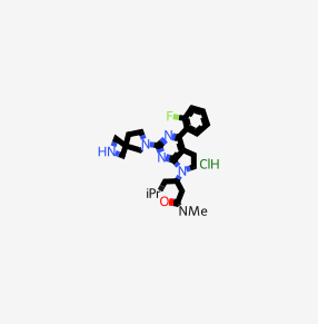 CNC(=O)CC(CC(C)C)N1CCc2c(-c3ccccc3F)nc(N3CCC4(CNC4)C3)nc21.Cl